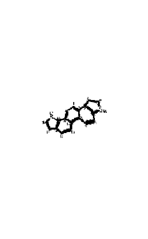 c1cc2c(ccc3c2ccc2c3ccc3ccsc32)s1